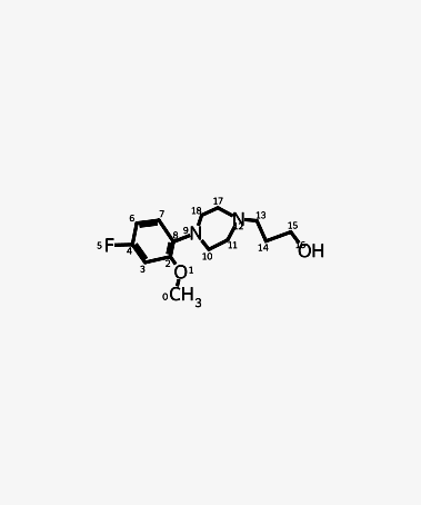 COc1cc(F)ccc1N1CCN(CCCO)CC1